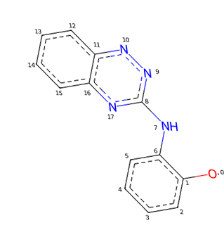 [O]c1ccccc1Nc1nnc2ccccc2n1